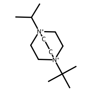 CC(C)[N+]12CC[N+](C(C)(C)C)(CC1)CC2